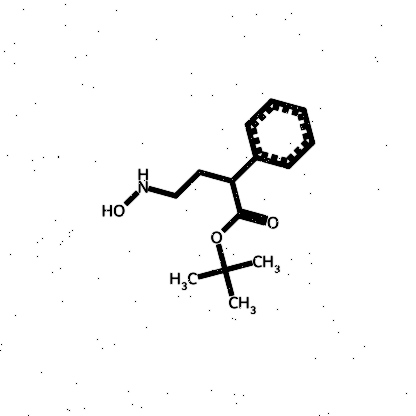 CC(C)(C)OC(=O)C(CCNO)c1ccccc1